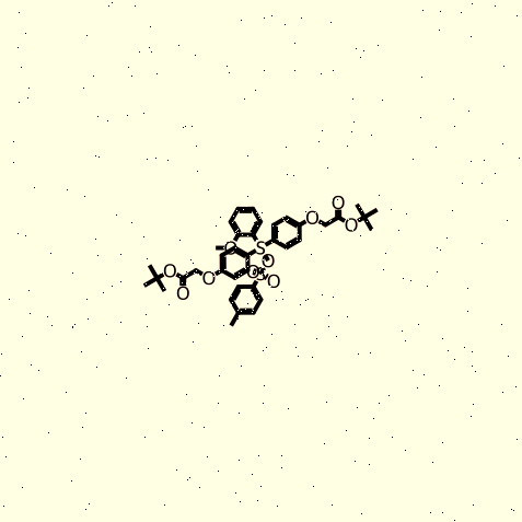 COc1ccccc1S(OS(=O)(=O)c1ccc(C)cc1)(c1ccc(OCC(=O)OC(C)(C)C)cc1)c1ccc(OCC(=O)OC(C)(C)C)cc1